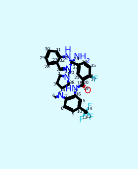 CN1CC[C@@H](N(C)c2ccc(C(F)(F)F)cc2NC(=O)c2cc(C3(N)N=Cc4ccccc4N3)ccc2F)C1